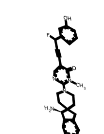 Cn1c(N2CCC3(CC2)Cc2ccccc2[C@H]3N)ncc(C#CC(F)c2cccc(O)c2)c1=O